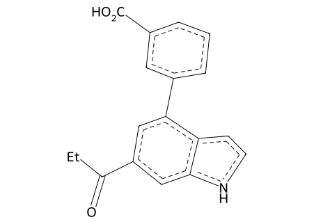 CCC(=O)c1cc(-c2cccc(C(=O)O)c2)c2cc[nH]c2c1